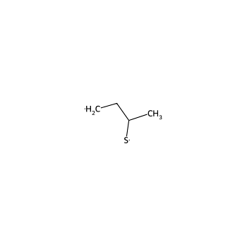 [CH2]CC(C)[S]